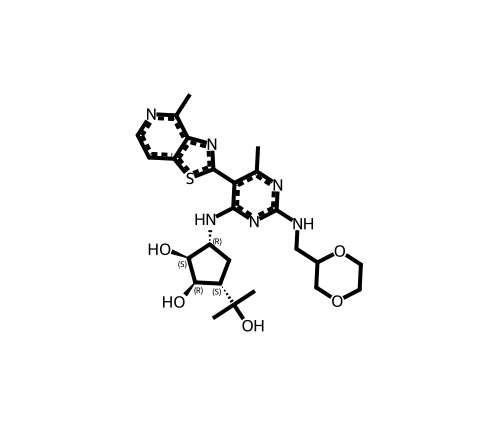 Cc1nc(NCC2COCCO2)nc(N[C@@H]2C[C@H](C(C)(C)O)[C@@H](O)[C@H]2O)c1-c1nc2c(C)nccc2s1